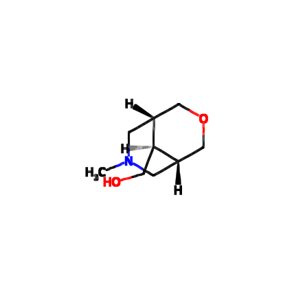 CN1C[C@H]2COC[C@@H](C1)[C@@H]2CO